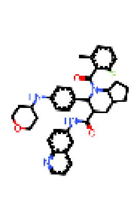 Cc1cccc(F)c1C(=O)N1C2CCCC2CC(C(=O)Nc2ccc3ncccc3c2)C1c1ccc(NC2CCOCC2)cc1